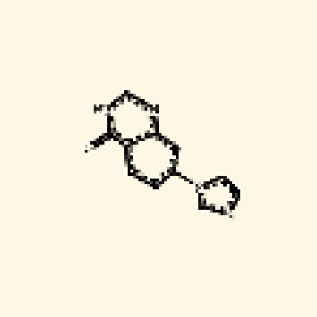 O=c1[nH]cnc2cc(-n3ccnc3)ccc12